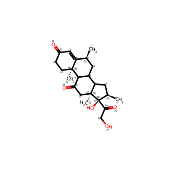 C[C@@H]1CC2C3C[C@H](C)C4=CC(=O)CC[C@]4(C)C3C(=O)C[C@]2(C)[C@@]1(O)C(=O)CO